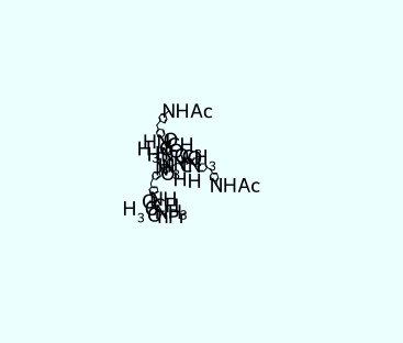 CCCNC(=O)C(C)(C)C(=O)Nc1ccc(Cc2ccc(NC(=O)N(CCNC(=O)C(C)(C)C(=O)Nc3ccc(Cc4ccc(NC(C)=O)cc4)cc3)CCNC(=O)C(C)(C)C(=O)Nc3ccc(Cc4ccc(NC(C)=O)cc4)cc3)cc2)cc1